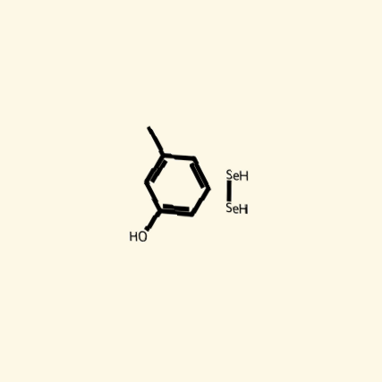 Cc1cccc(O)c1.[SeH][SeH]